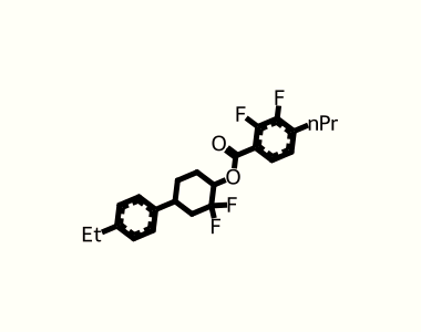 CCCc1ccc(C(=O)OC2CCC(c3ccc(CC)cc3)CC2(F)F)c(F)c1F